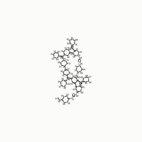 C=Cc1ccc(COCc2ccc3c(c2)c2cc(N(c4ccccc4)c4ccc(-c5ccc(N(c6ccccc6)c6ccc7c(c6)c6cc(COCc8ccc(C=C)cc8)ccc6n7-c6ccccc6)cc5)cc4)ccc2n3-c2ccccc2)cc1